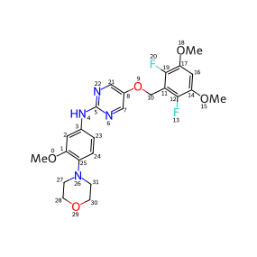 COc1cc(Nc2ncc(OCc3c(F)c(OC)cc(OC)c3F)cn2)ccc1N1CCOCC1